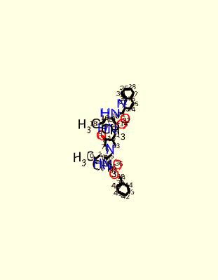 CC(C)C[C@H](CN1CC(=O)C(CNC(=O)[C@H](CC(C)C)NC(=O)c2ccc3ccccc3n2)C1)NC(=O)OCc1ccccc1